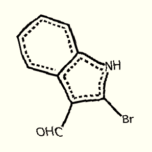 O=Cc1c(Br)[nH]c2ccccc12